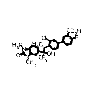 C[C@H](c1ccc(-c2ccc(F)c(C(=O)O)c2)cc1Cl)[C@@](O)(c1ccc2c(c1)n(C)c(=O)n2C)C(F)(F)F